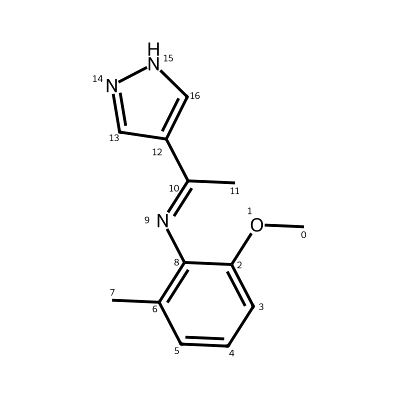 COc1cccc(C)c1N=C(C)c1cn[nH]c1